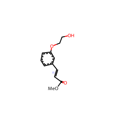 COC(=O)/C=C/c1cccc(OCCO)c1